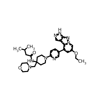 CCOc1cc(-c2ccc(N3CCC(CN4CCOCC4)(NC(=O)CC(C)C)CC3)nc2)c2c3cn[nH]c3nn2c1